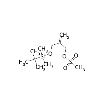 C=C(CO[Si](C)(C)C(C)(C)C)COS(C)(=O)=O